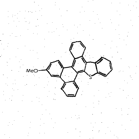 COc1ccc2c(c1)c1ccccc1c1c3sc4ccccc4c3c3ccccc3c21